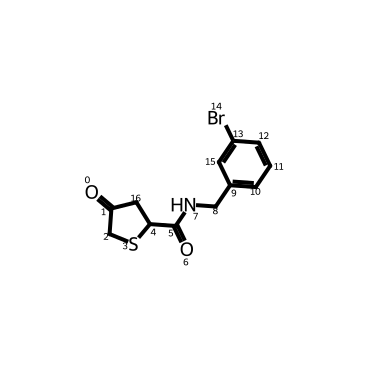 O=C1CSC(C(=O)NCc2cccc(Br)c2)C1